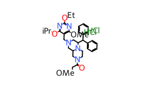 CCOc1nc(OC)c(CN2CC3CN(C(=O)COC)CCN3C(C(c3ccccc3)c3ccccc3)C2)c(OC(C)C)n1.Cl.Cl